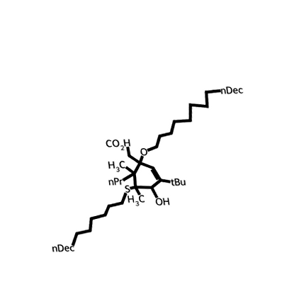 CCCCCCCCCCCCCCCCCCOC1(CC(=O)O)C=C(C(C)(C)C)C(O)C(C)(SCCCCCCCCCCCCCCCC)C1(C)CCC